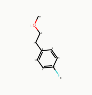 COC[CH]c1ccc(F)cc1